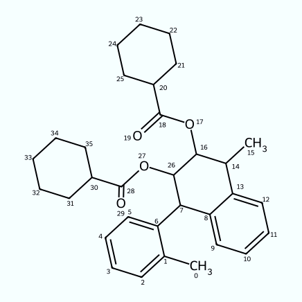 Cc1ccccc1C1c2ccccc2C(C)C(OC(=O)C2CCCCC2)C1OC(=O)C1CCCCC1